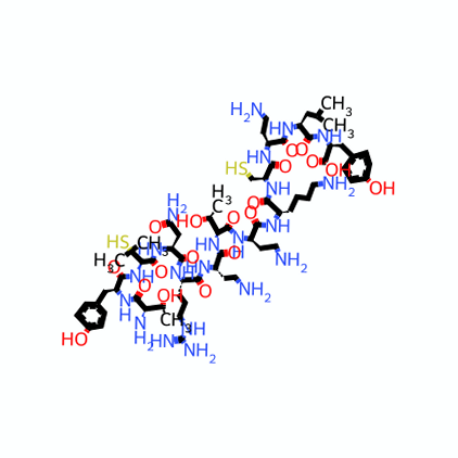 CC(C)C[C@H](NC(=O)[C@H](CCN)NC(=O)[C@H](CS)NC(=O)[C@H](CCCCN)NC(=O)[C@@H](CCN)NC(=O)[C@@H](NC(=O)[C@H](CCN)NC(=O)[C@H](CCCNC(=N)N)NC(=O)[C@H](CC(N)=O)NC(=O)[C@@H](NC(=O)[C@H](Cc1ccc(O)cc1)NC(=O)[C@@H](N)[C@@H](C)O)C(C)(C)S)[C@@H](C)O)C(=O)N[C@@H](Cc1ccc(O)cc1)C(=O)O